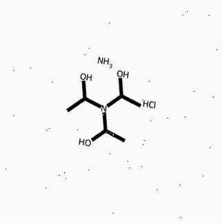 CC(O)N(C(C)O)C(C)O.Cl.N